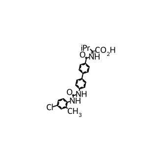 Cc1cc(Cl)ccc1NC(=O)Nc1ccc(-c2ccc(C(=O)N[C@@H](C(=O)O)C(C)C)cc2)cc1